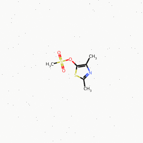 Cc1nc(C)c(OS(C)(=O)=O)s1